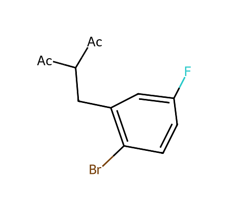 CC(=O)C(Cc1cc(F)ccc1Br)C(C)=O